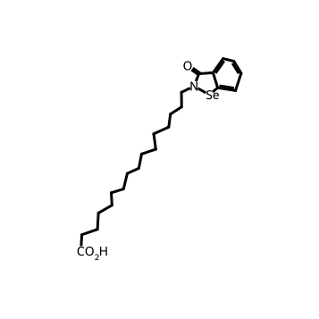 O=C(O)CCCCCCCCCCCCCCCn1[se]c2ccccc2c1=O